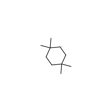 CC1(C)[CH]CC(C)(C)CC1